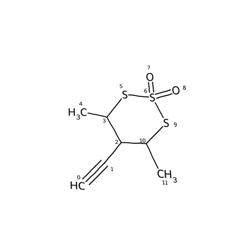 C#CC1C(C)SS(=O)(=O)SC1C